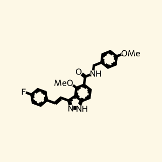 COc1ccc(CNC(=O)c2ccc3[nH]nc(C=Cc4ccc(F)cc4)c3c2OC)cc1